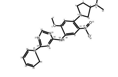 COc1cc(N2CCC(N(C)C)C2)c([N+](=O)[O-])cc1Nc1ncnc(N2C=CC=CC2)n1